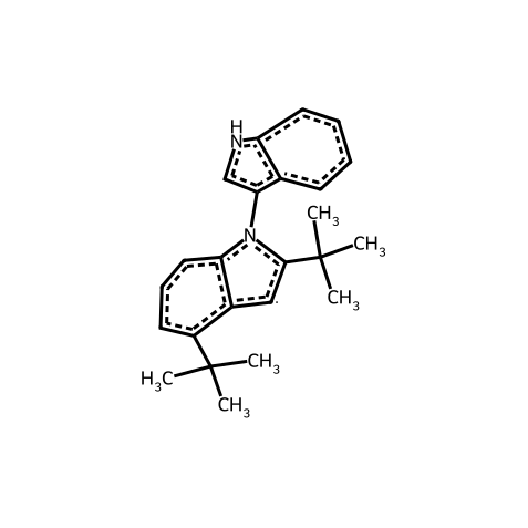 CC(C)(C)c1cccc2c1[c]c(C(C)(C)C)n2-c1c[nH]c2ccccc12